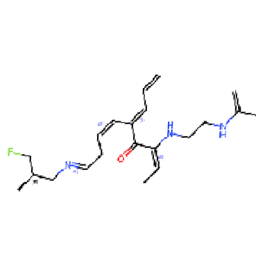 C=C/C=C(\C=C/C/C=N/C[C@@H](C)CF)C(=O)/C(=C\C)NCCNC(=C)C